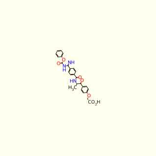 CC(NC(=O)c1ccc(C(=N)NC(=O)Oc2ccccc2)cc1)C(=O)c1ccc(OCC(=O)O)cc1